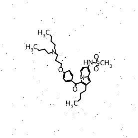 CCCCc1cc2cc(NS(C)(=O)=O)ccn2c1C(=O)c1ccc(OCCCN(CCCC)CCCC)cc1